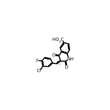 O=C1Nc2ccc(C(=O)O)cc2C(=O)/C1=C\c1ccc(F)c(Cl)c1